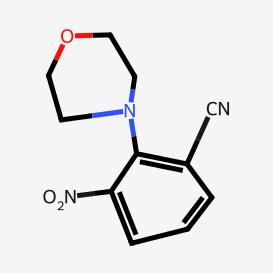 N#Cc1cccc([N+](=O)[O-])c1N1CCOCC1